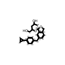 OCC1CC(O)C[C@@]2(OCc3ccc(Cc4ccc(C5CC5)cc4)cc32)O1